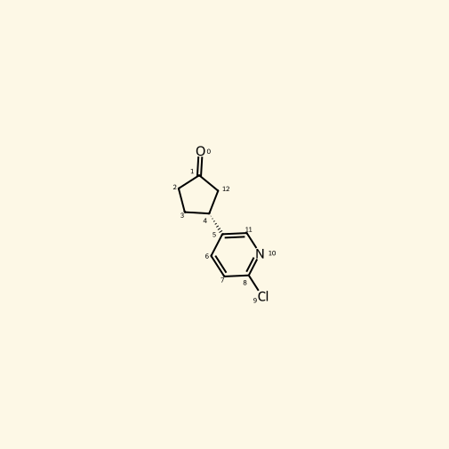 O=C1CC[C@@H](c2ccc(Cl)nc2)C1